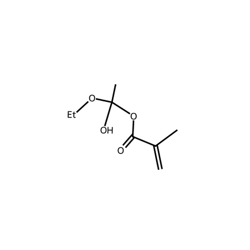 C=C(C)C(=O)OC(C)(O)OCC